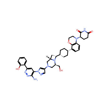 Nc1nnc(-c2ccccc2O)cc1-n1cc(N2C[C@H](CO)N3[C@@H](C[C@@H]3[C@H]3CC[C@@H](c4cccc5c4OCCN5[C@@H]4CCC(=O)NC4=O)CC3)C2)cn1